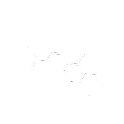 C=Cc1c(Cl)ccc(/C=C\C(C)[SH](=O)=O)c1C